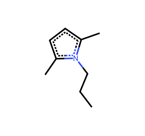 CCCn1c(C)ccc1C